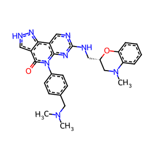 CN(C)Cc1ccc(-n2c(=O)c3c[nH]nc3c3cnc(NC[C@H]4CN(C)c5ccccc5O4)nc32)cc1